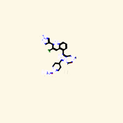 CNC(=O)N1CCC(c2nc(-c3cccc4nc(-c5cnn(C)c5)c(C(F)F)cc34)c3n2[C@H](C)C(=O)N(C)C3)CC1